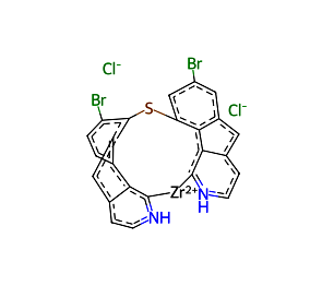 Brc1cc2c3c4[c]([nH]ccc-4cc3c1)[Zr+2][c]1[nH]ccc3cc4c(c(Br)ccc4c1-3)S2.[Cl-].[Cl-]